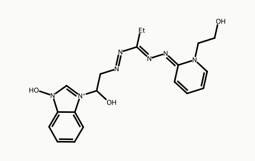 CCC(N=NCC(O)[n+]1cn(O)c2ccccc21)=NN=c1ccccn1CCO